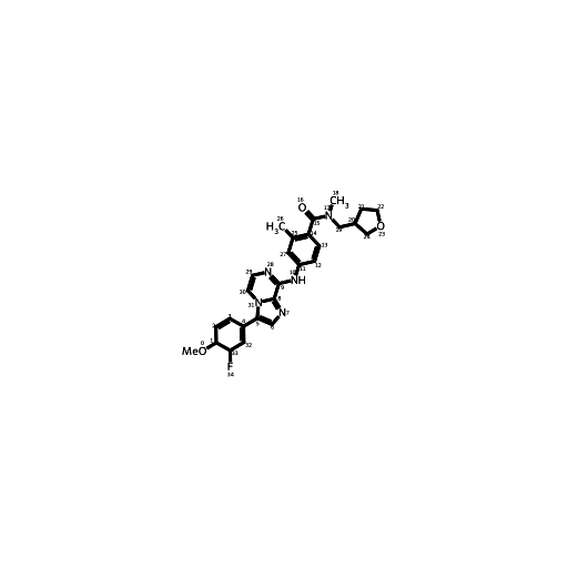 COC1C=CC(c2cnc3c(Nc4ccc(C(=O)N(C)CC5CCOC5)c(C)c4)nccn23)=CC1F